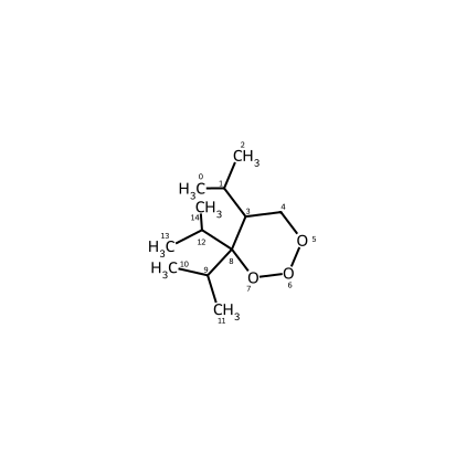 CC(C)C1COOOC1(C(C)C)C(C)C